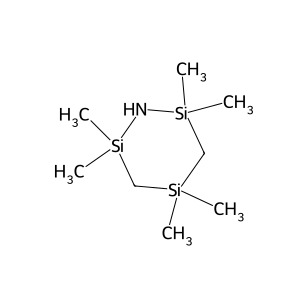 C[Si]1(C)C[Si](C)(C)N[Si](C)(C)C1